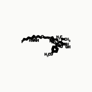 COc1ccc(S(=O)(=O)N(Cc2cn(CCOCCN3C=C(CCCF)NN3)nn2)[C@@H](C(=O)NO)C(C)C)cc1